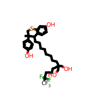 CC1(c2ccc(O)cc2)CSc2cc(O)ccc2C1CCCCCCCCC(CO)(CO)CCCC(F)(F)C(F)(F)F